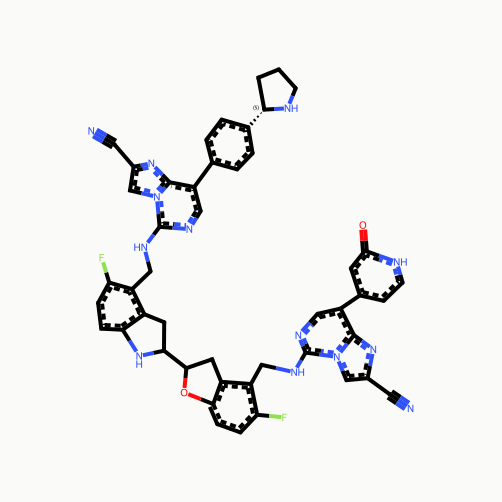 N#Cc1cn2c(NCc3c(F)ccc4c3CC(C3Cc5c(ccc(F)c5CNc5ncc(-c6cc[nH]c(=O)c6)c6nc(C#N)cn56)O3)N4)ncc(-c3ccc([C@@H]4CCCN4)cc3)c2n1